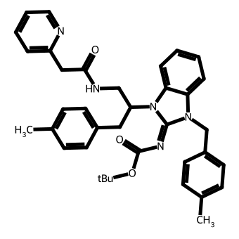 Cc1ccc(CC(CNC(=O)Cc2ccccn2)n2c(=NC(=O)OC(C)(C)C)n(Cc3ccc(C)cc3)c3ccccc32)cc1